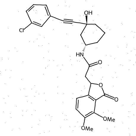 COc1ccc2c(c1OC)C(=O)OC2CC(=O)N[C@H]1CCC[C@@](O)(C#Cc2cccc(Cl)c2)C1